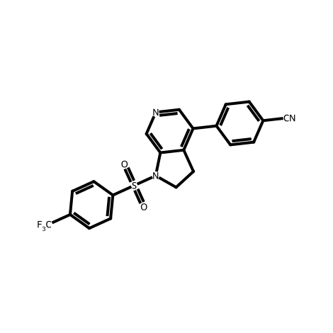 N#Cc1ccc(-c2cncc3c2CCN3S(=O)(=O)c2ccc(C(F)(F)F)cc2)cc1